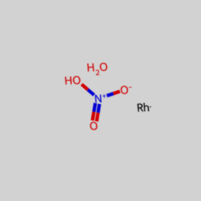 O.O=[N+]([O-])O.[Rh]